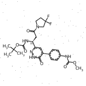 COC(=O)Nc1ccc(-c2cc([C@H](CC(=O)N3CCC(F)(F)C3)NC(=O)OC(C)(C)C)n[nH]c2=O)cc1